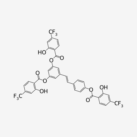 O=C(Oc1ccc(/C=C/c2cc(OC(=O)c3ccc(C(F)(F)F)cc3O)cc(OC(=O)c3ccc(C(F)(F)F)cc3O)c2)cc1)c1ccc(C(F)(F)F)cc1O